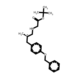 C[C@@H](CNCC(=O)OC(C)(C)C)Cc1ccc(OCc2ccccc2)cc1